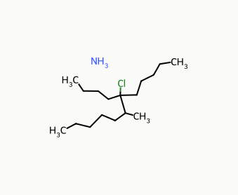 CCCCCC(C)C(Cl)(CCCC)CCCCC.N